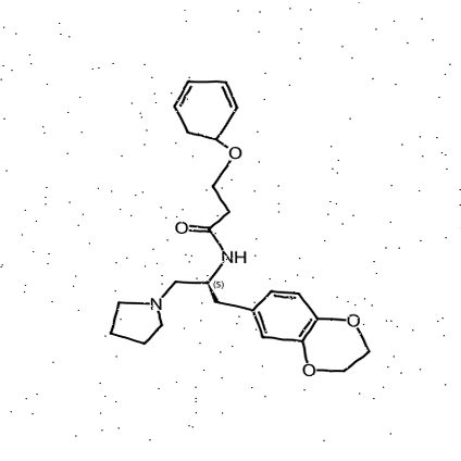 O=C(CCOC1C=CC=CC1)N[C@@H](Cc1ccc2c(c1)OCCO2)CN1CCCC1